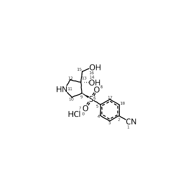 Cl.N#Cc1ccc(S(=O)(=O)[C@H]2CNC[C@@]2(O)CO)cc1